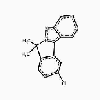 CC1(C)c2ccc(Cl)cc2-c2c3ccccc3nn21